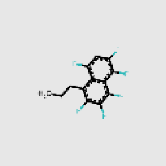 [CH2][CH]Cc1c(F)c(F)c(F)c2c(F)c(F)cc(F)c12